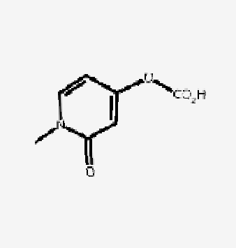 Cn1ccc(OC(=O)O)cc1=O